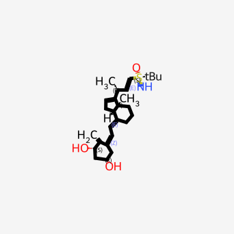 C=C1/C(=C\C=C2/CCC[C@]3(C)C([C@H](C)/C=C/[S@](=N)(=O)C(C)(C)C)=CC[C@@H]23)C[C@@H](O)C[C@@H]1O